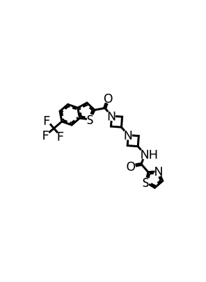 O=C(NC1CN(C2CN(C(=O)c3cc4ccc(C(F)(F)F)cc4s3)C2)C1)c1nccs1